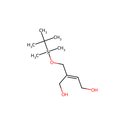 CC(C)(C)[Si](C)(C)OCC(=CCO)CO